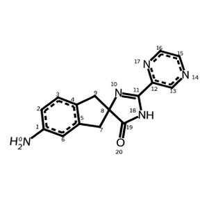 Nc1ccc2c(c1)CC1(C2)N=C(c2cnccn2)NC1=O